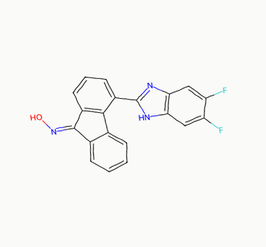 O/N=C1/c2ccccc2-c2c1cccc2-c1nc2cc(F)c(F)cc2[nH]1